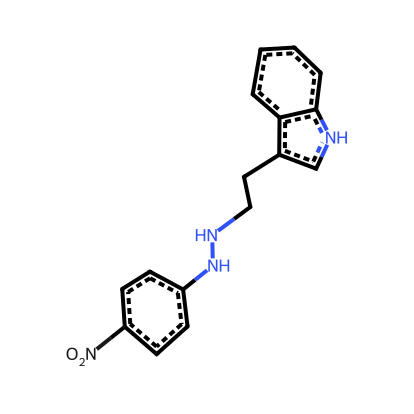 O=[N+]([O-])c1ccc(NNCCc2c[nH]c3ccccc23)cc1